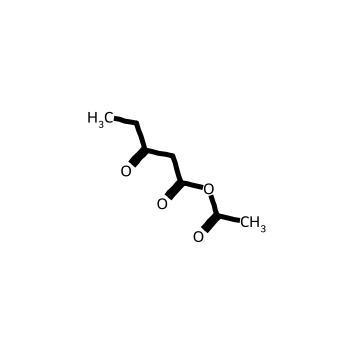 CCC(=O)CC(=O)OC(C)=O